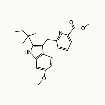 CCC(C)(C)c1[nH]c2cc(OC)ccc2c1Cc1cccc(C(=O)OC)n1